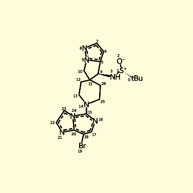 CC(C)(C)[S@@+]([O-])N[C@@H]1c2ccnn2CC12CCN(c1ncc(Br)c3nccn13)CC2